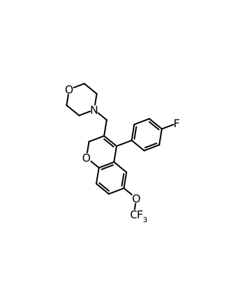 Fc1ccc(C2=C(CN3CCOCC3)COc3ccc(OC(F)(F)F)cc32)cc1